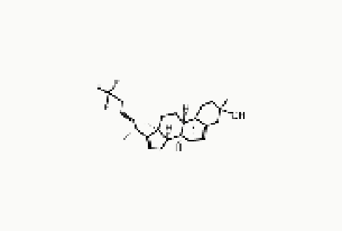 C[C@H](/C=C/CC(F)(F)F)C1=CC[C@H]2[C@@H]3CC=C4C[C@@](C)(O)CC[C@]4(C)[C@H]3CC[C@]12C